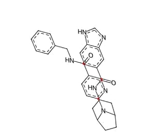 O=C(NCc1ccccc1)c1ccc(N2C3CCC2CC(NC(=O)c2ccc4[nH]cnc4c2)C3)nc1